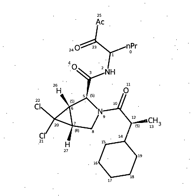 CCCC(NC(=O)[C@@H]1[C@@H]2[C@H](CN1C(=O)[C@@H](C)C1CCCCC1)C2(Cl)Cl)C(=O)C(C)=O